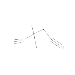 [C-]#[N+]C(C)(C)CC#N